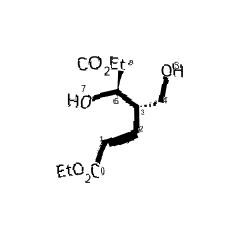 CCOC(=O)/C=C/[C@@H](CO)[C@@H](O)C(=O)OCC